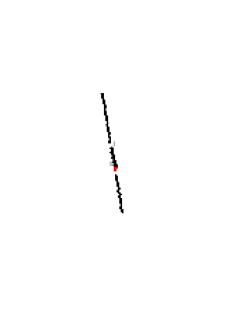 CCCCCCCCCCCCCCCCCCC(=O)NCCCCCCNC(=O)CCCCCCCCCCCCCCCCCC